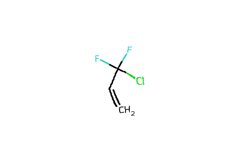 C=CC(F)(F)Cl